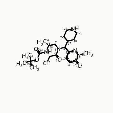 C[C@@H](CN(C(=O)CCl)C(c1ccc(=O)n(C)n1)C1CCNCC1)NC(=O)OC(C)(C)C